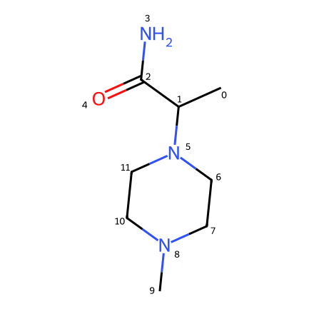 CC(C(N)=O)N1CCN(C)CC1